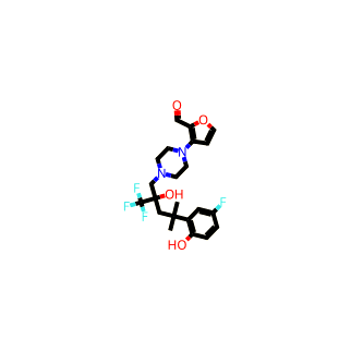 CC(C)(CC(O)(CN1CCN(c2ccoc2C=O)CC1)C(F)(F)F)c1cc(F)ccc1O